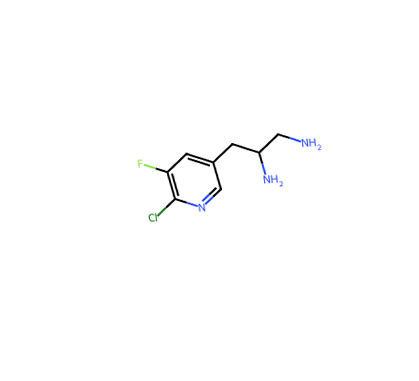 NCC(N)Cc1cnc(Cl)c(F)c1